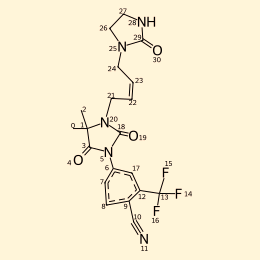 CC1(C)C(=O)N(c2ccc(C#N)c(C(F)(F)F)c2)C(=O)N1C/C=C\CN1CCNC1=O